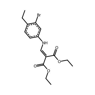 CCOC(=O)C(=CNc1ccc(CC)c(Br)c1)C(=O)OCC